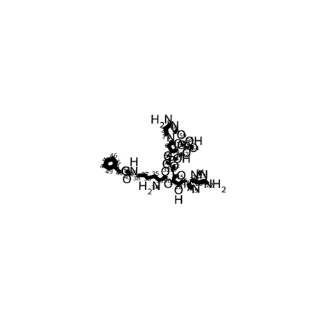 Nc1ccn([C@H]2C[C@H](OP(=O)(O)OC[C@H]3O[C@@H](n4cnc5c(N)ncnc54)[C@H](O)[C@@H]3OC(=O)[C@@H](N)CCCCNC(=O)OCc3ccccc3)[C@@H](COP(=O)(O)O)O2)c(=O)n1